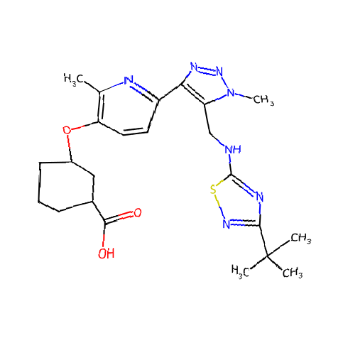 Cc1nc(-c2nnn(C)c2CNc2nc(C(C)(C)C)ns2)ccc1OC1CCCC(C(=O)O)C1